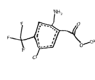 COC(=O)c1cc(Cl)c(C(F)(F)F)cc1N